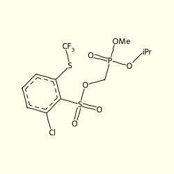 COP(=O)(COS(=O)(=O)c1c(Cl)cccc1SC(F)(F)F)OC(C)C